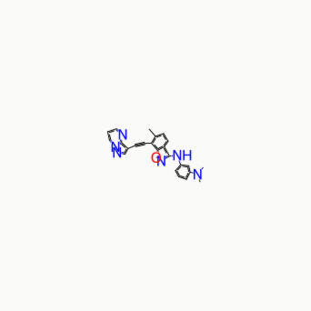 Cc1ccc2c(Nc3cccc(N(C)C)c3)noc2c1C#Cc1cnn2cccnc12